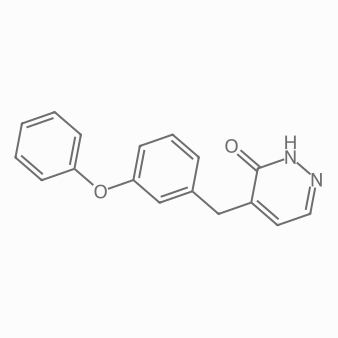 O=c1[nH]nccc1Cc1cccc(Oc2ccccc2)c1